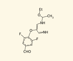 CCOC(C)N/C=C(\C=N)Oc1c(F)cc(C=O)cc1F